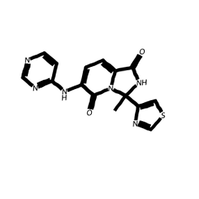 CC1(c2cscn2)NC(=O)c2ccc(Nc3ccncn3)c(=O)n21